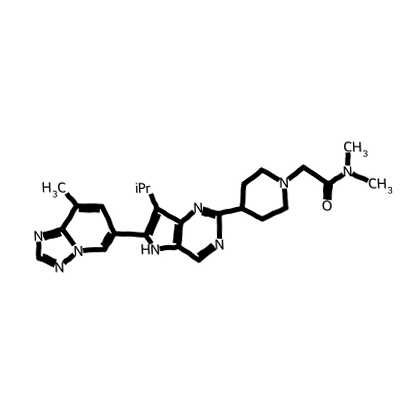 Cc1cc(-c2[nH]c3cnc(C4CCN(CC(=O)N(C)C)CC4)nc3c2C(C)C)cn2ncnc12